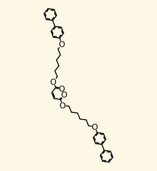 O=C(/C=C\C(=O)OCCCCCCOc1ccc(-c2ccccc2)cc1)OCCCCCCOc1ccc(-c2ccccc2)cc1